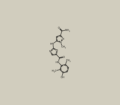 Cc1ccc(O)c(C)c1NC(=O)c1cnc(Nc2cc(C(N)=O)nn2C)s1